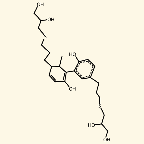 CC1C(c2cc(CCCSCC(O)CO)ccc2O)=C(O)C=CC1CCCSCC(O)CO